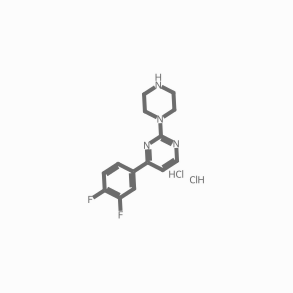 Cl.Cl.Fc1ccc(-c2ccnc(N3CCNCC3)n2)cc1F